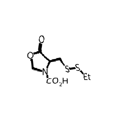 CCSSCC1C(=O)OCN1C(=O)O